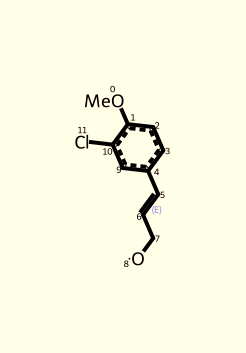 COc1ccc(/C=C/C[O])cc1Cl